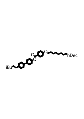 CCCCCCCCCCCCCCCCCCOc1ccc(C(=O)Oc2ccc(-c3ccc(CCC(C)CC)cc3)cc2)cc1